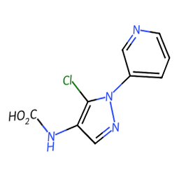 O=C(O)Nc1cnn(-c2cccnc2)c1Cl